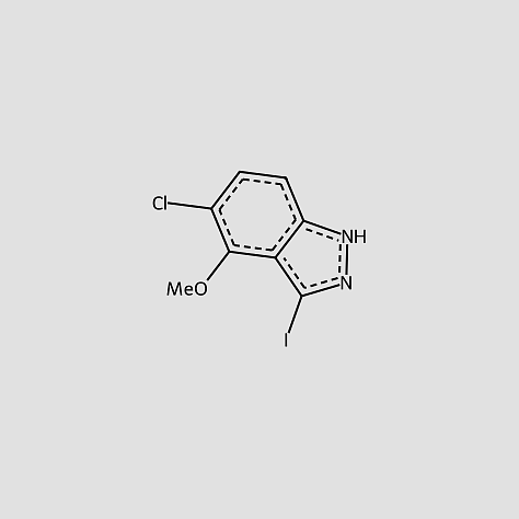 COc1c(Cl)ccc2[nH]nc(I)c12